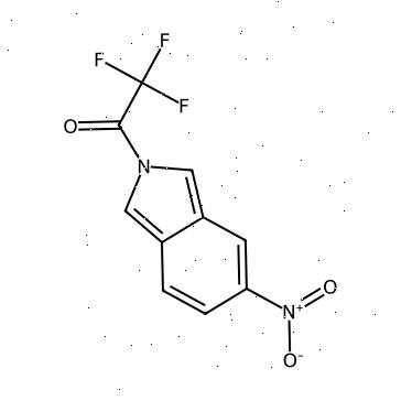 O=C(n1cc2ccc([N+](=O)[O-])cc2c1)C(F)(F)F